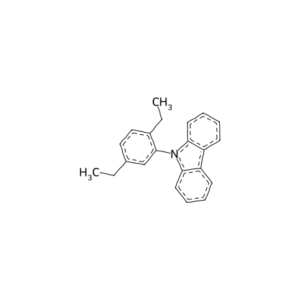 CCc1ccc(CC)c(-n2c3ccccc3c3ccccc32)c1